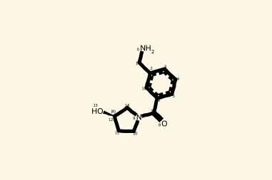 NCc1cccc(C(=O)N2CC[C@@H](O)C2)c1